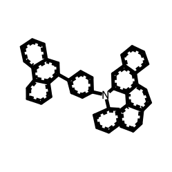 c1ccc(N(c2ccc(-c3cc4ccccc4c4ccccc34)cc2)c2cc3ccccc3c3ccc4ccccc4c23)cc1